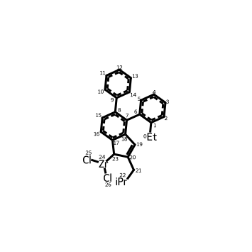 CCc1ccccc1-c1c(-c2ccccc2)ccc2c1C=C(CC(C)C)[CH]2[Zr]([Cl])[Cl]